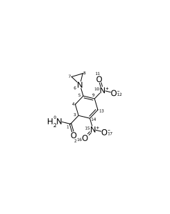 NC(=O)C1CC(N2CC2)=C([N+](=O)[O-])C=C1[N+](=O)[O-]